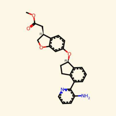 COC(=O)C[C@@H]1COc2cc(O[C@@H]3CCc4c(-c5ncccc5N)cccc43)ccc21